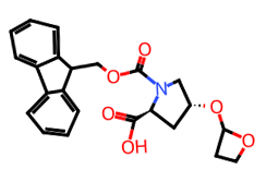 O=C(O)[C@@H]1C[C@@H](OC2CCO2)CN1C(=O)OCC1c2ccccc2-c2ccccc21